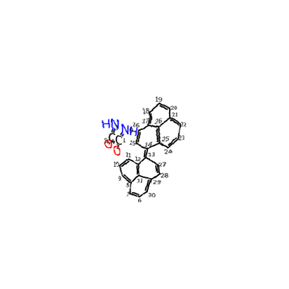 N=C=O.N=C=O.c1cc2cccc3c(=c4ccc5cccc6cccc4c65)ccc(c1)c23